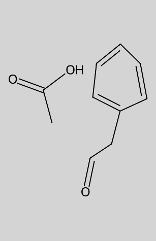 CC(=O)O.O=CCc1ccccc1